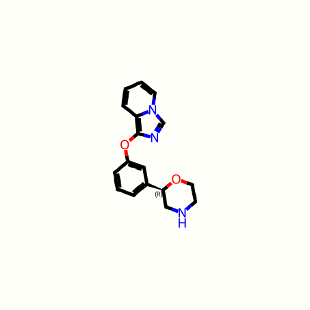 c1cc(Oc2ncn3ccccc23)cc([C@@H]2CNCCO2)c1